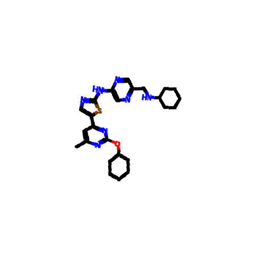 Cc1cc(-c2cnc(Nc3cnc(CNC4CCCCC4)cn3)s2)nc(OC2CCCCC2)n1